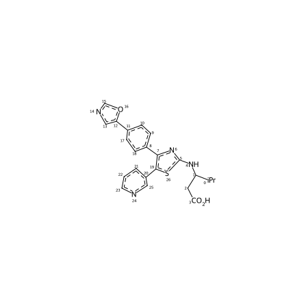 CC(C)C(CC(=O)O)Nc1nc(-c2ccc(-c3cnco3)cc2)c(-c2cccnc2)s1